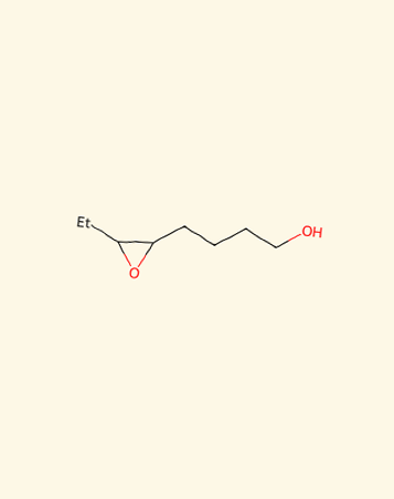 CCC1OC1CCCCO